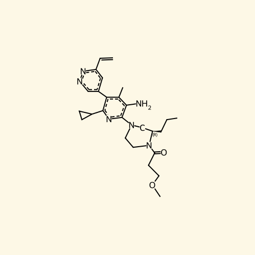 C=Cc1cc(-c2c(C3CC3)nc(N3CCN(C(=O)CCOC)[C@H](CCC)C3)c(N)c2C)cnn1